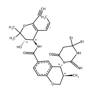 C#CC1=C(/C=C\C)[C@@H](NC(=O)c2ccc3c(c2)[C@H](N2C(=N)NC(CC)(CC)CC2=O)[C@@H](C)CO3)[C@H](O)C(C)(C)O1